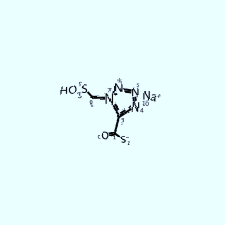 O=C([S-])c1nnnn1CS(=O)(=O)O.[Na+]